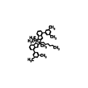 CCCCCC[Si]1(C)C2=Cc3c(-c4cc(C)cc(C)c4)cccc3[CH]2[Hf]([CH3])([CH3])[CH]2C1=Cc1c(-c3cc(C)cc(C)c3)cccc12